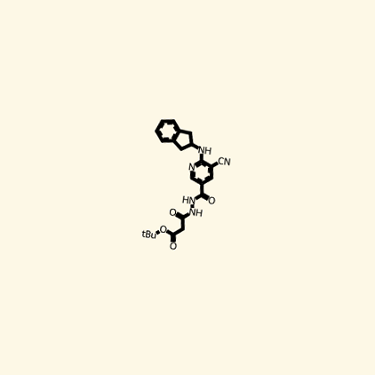 CC(C)(C)OC(=O)CC(=O)NNC(=O)c1cnc(NC2Cc3ccccc3C2)c(C#N)c1